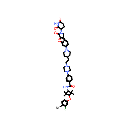 CC1(C)[C@H](NC(=O)c2ccc(N3CCN(CCC4CCN(c5ccc6c7c(oc6c5)C(=O)N(C5CCC(=O)NC5=O)C7)CC4)CC3)cc2)C(C)(C)[C@H]1Oc1ccc(C#N)c(Cl)c1